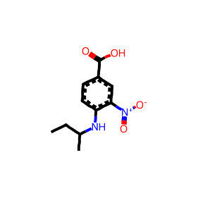 CCC(C)Nc1ccc(C(=O)O)cc1[N+](=O)[O-]